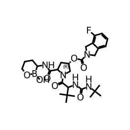 CC(C)(C)NC(=O)NC(C(=O)N1C[C@H](OC(=O)N2Cc3cccc(F)c3C2)CC1C(=O)NC1CCCOB1O)C(C)(C)C